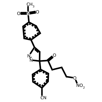 CS(=O)(=O)c1ccc(C2=CC(C(=O)CCCO[N+](=O)[O-])(c3ccc(C#N)cc3)N=N2)cc1